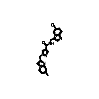 Cc1ccn2cc(Cn3cc(C(=O)NCc4cnc5ccc(Cl)cn45)cn3)nc2c1